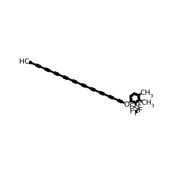 C#CC#CC#CC#CC#CC#CC#CC#CC#CC#CC#COc1ccc(C)c(C)c1S(F)(F)(F)(F)F